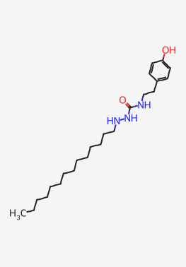 CCCCCCCCCCCCCCNNC(=O)NCCc1ccc(O)cc1